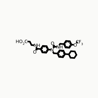 O=C(O)CCNC(=O)c1ccc(N(Cc2ccc(C3CCCCC3)cc2)C(=O)NCc2ccc(OC(F)(F)F)cc2)cc1